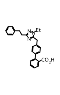 CCn1nc(CCc2ccccc2)nc1Cc1ccc(-c2ccccc2C(=O)O)cc1